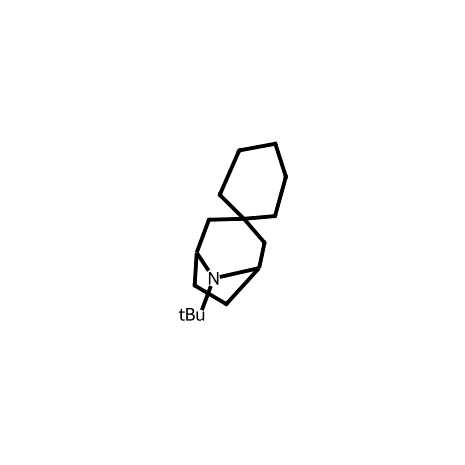 CC(C)(C)N1C2CCC1CC1(CCCCC1)C2